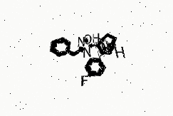 CN1[C@H]2CC[C@@H]1[C@H](c1nc(Cc3ccccc3)no1)[C@@H](c1ccc(F)cc1)C2